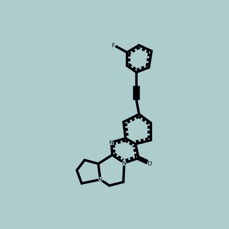 O=c1c2ccc(C#Cc3cccc(F)c3)cc2nc2n1CCN1CCCC21